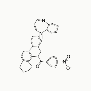 C1=CNc2ccccc2N=C1.O=C(c1ccc([N+](=O)[O-])cc1)C1Cc2ccccc2-c2ccc3c(c21)CCCC3